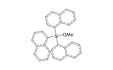 CO[Si](c1cccc2ccccc12)(c1cccc2ccccc12)c1cccc2ccccc12